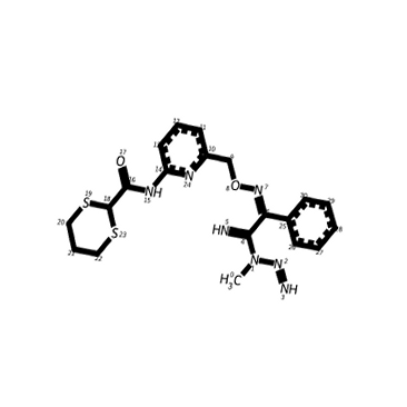 CN(N=N)C(=N)/C(=N\OCc1cccc(NC(=O)C2SCCCS2)n1)c1ccccc1